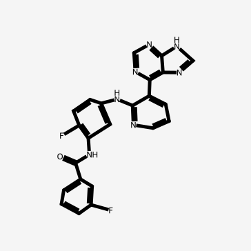 O=C(Nc1cc(Nc2ncccc2-c2ncnc3[nH]cnc23)ccc1F)c1cccc(F)c1